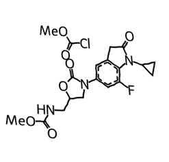 COC(=O)Cl.COC(=O)NCC1CN(c2cc(F)c3c(c2)CC(=O)N3C2CC2)C(=O)O1